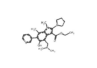 CCOC(=O)c1c(N2CCCC2)n(C)c2c(C)c(-c3cccnc3)c(O)c(CN(C)C)c12